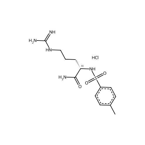 Cc1ccc(S(=O)(=O)N[C@@H](CCCNC(=N)N)C(N)=O)cc1.Cl